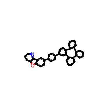 c1ccc2c(c1)-c1ccccc1-c1ccc(-c3ccc(-c4ccc5oc6cccnc6c5c4)cc3)cc1-c1ccccc1-2